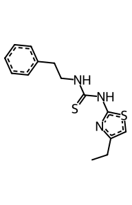 CCc1csc(NC(=S)NCCc2ccccc2)n1